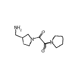 NCC1CCN(C(=O)C(=O)N2CCCC2)C1